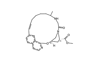 COC(=O)[C@@H]1C[C@@H]2CN1C(=O)CNC(C)CCCCC=Cc1ccc3ccnc(c3c1)O2